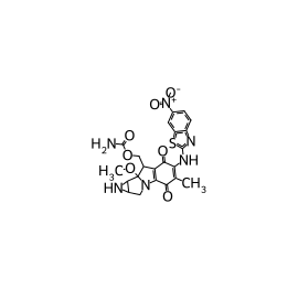 COC12C(COC(N)=O)C3=C(C(=O)C(C)=C(Nc4nc5ccc([N+](=O)[O-])cc5s4)C3=O)N1CC1NC12